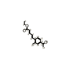 CCOC(=O)C=CC=Cc1ccc(C(C)=O)cc1C